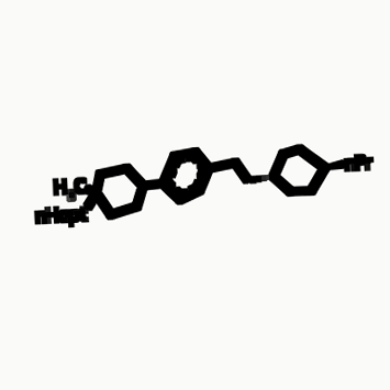 CCCCCCCC1(C)CCC(c2ccc(CC[C@H]3CC[C@H](CCC)CC3)cc2)CC1